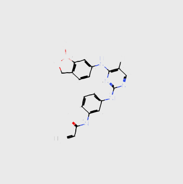 C=CC(=O)Nc1cccc(Nc2ncc(C)c(Nc3ccc4c(c3)B(O)OC4)n2)c1